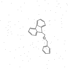 c1ccc(COCC2c3ccccc3-c3ccccc32)cc1